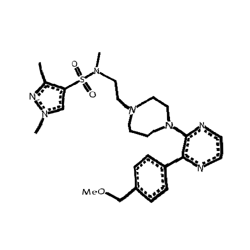 COCc1ccc(-c2nccnc2N2CCN(CCN(C)S(=O)(=O)c3cn(C)nc3C)CC2)cc1